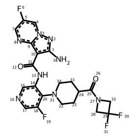 Nc1nn2cc(F)cnc2c1C(=O)Nc1cncc(F)c1N1CCC(C(=O)N2CC(F)(F)C2)CC1